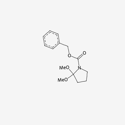 COC1(OC)CCCN1C(=O)OCc1ccccc1